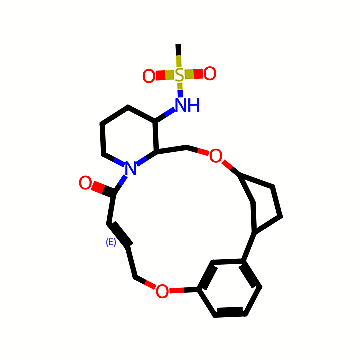 CS(=O)(=O)NC1CCCN2C(=O)/C=C/COc3cccc(c3)C3CCC(C3)OCC12